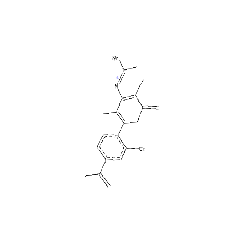 C=C1CC(c2ccc(C(=C)C)cc2CC)=C(C)C(/N=C(\C)C(C)C)=C1C